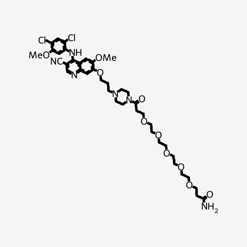 COc1cc(Nc2c(C#N)cnc3cc(OCCCN4CCN(C(=O)CCOCCOCCOCCOCCOCCC(N)=O)CC4)c(OC)cc23)c(Cl)cc1Cl